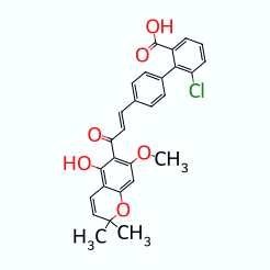 COc1cc2c(c(O)c1C(=O)/C=C/c1ccc(-c3c(Cl)cccc3C(=O)O)cc1)C=CC(C)(C)O2